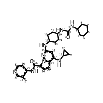 O=C(NC1CCCCC1)NC1CCC(Nc2cc(NC3CC3)c3ncc(C(=O)Nc4ccncc4F)n3n2)CC1